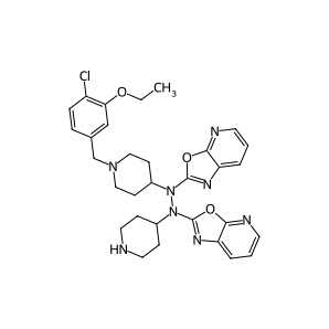 CCOc1cc(CN2CCC(N(c3nc4cccnc4o3)N(c3nc4cccnc4o3)C3CCNCC3)CC2)ccc1Cl